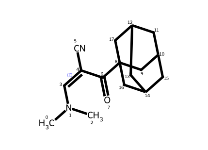 CN(C)/C=C(/C#N)C(=O)C12CC3CC(CC(C3)C1)C2